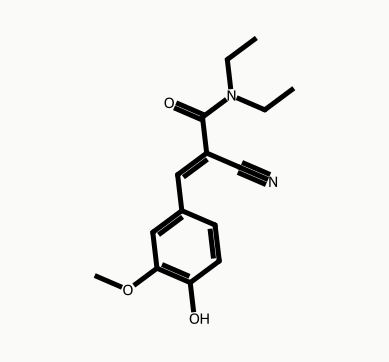 CCN(CC)C(=O)/C(C#N)=C/c1ccc(O)c(OC)c1